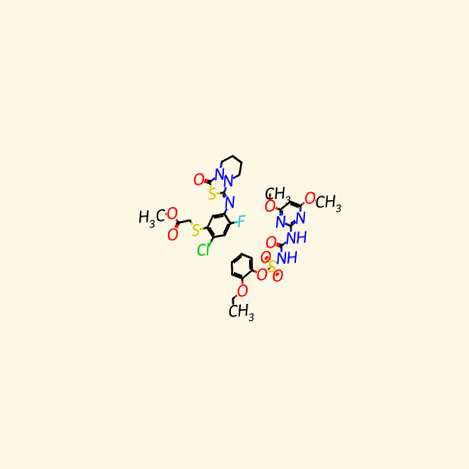 CCOc1ccccc1OS(=O)(=O)NC(=O)Nc1nc(OC)cc(OC)n1.COC(=O)CSc1cc(/N=c2\sc(=O)n3n2CCCC3)c(F)cc1Cl